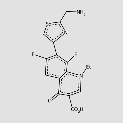 CCn1cc(C(=O)O)c(=O)c2cc(F)c(-c3csc(CN)n3)c(F)c21